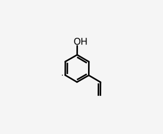 C=Cc1c[c]cc(O)c1